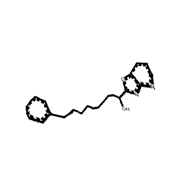 OC(CCCCCCc1ccccc1)c1nc2ncccc2o1